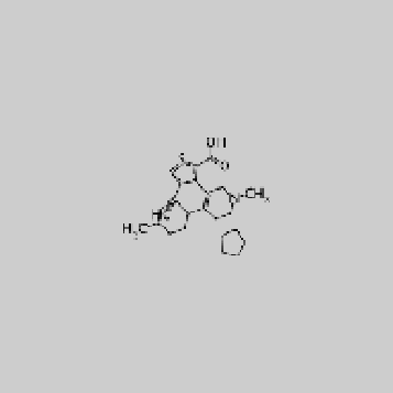 C#Cc1csc(C(=O)O)c1C1=C(C2CCC(C)CC2)CCN(C)C1.C1CCCC1